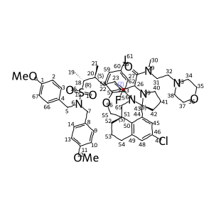 COc1ccc(CN(Cc2ccc(OC)cc2)S(=O)(=O)[C@H](C)[C@@H](C)C/C=C(\F)C(C(=O)N(C)CCN2CCOCC2)N2CCC[C@]23c2cc(Cl)cc4c2[C@]2(CCC4)COc4ccc(I)cc4N3C2)cc1